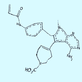 C=CC(=O)Nc1ccc(-c2c(C3=CCN(C(=O)O)CC3)c3c(N)ncnc3n2C)cc1